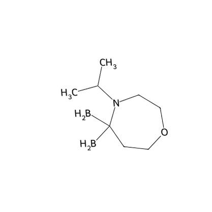 BC1(B)CCOCCN1C(C)C